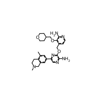 Cc1cc(-c2cnc(N)c(OCc3ccnc(N)c3OCC3CCOCC3)n2)cc2c1CCN(C)C2